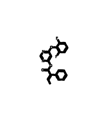 CC=C(C(=O)Oc1cc(Oc2c(F)cccc2F)ncn1)c1ccccc1